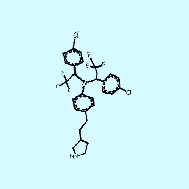 FC(F)(F)C(c1ccc(Cl)cc1)N(c1ccc(CCC2CCNC2)cc1)C(c1ccc(Cl)cc1)C(F)(F)F